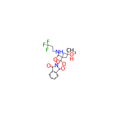 CC1(O)CC(C(=O)NCCC(F)(F)F)(C(=O)ON2C(=O)c3ccccc3C2=O)C1